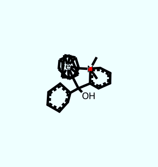 CN(C)[C]12[CH]3[CH]4[CH]5[C]1(C(O)(c1ccccc1)c1ccccc1)[Fe]43521678[CH]2[CH]1[CH]6[CH]7[CH]28